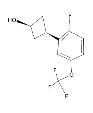 O[C@H]1C[C@@H](c2cc(OC(F)(F)F)ccc2F)C1